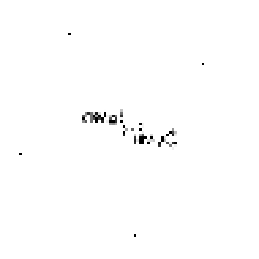 [Cl][Mg][CH2]CCNC1CC1